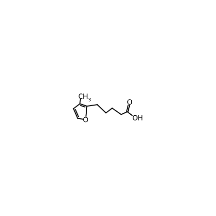 Cc1ccoc1CCCCC(=O)O